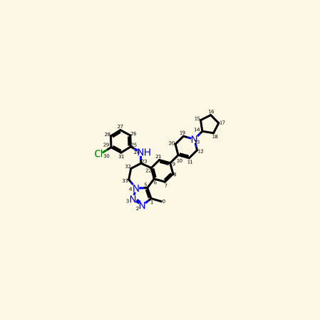 Cc1nnn2c1-c1ccc(C3=CCN(C4CCCC4)CC3)cc1C(Nc1cccc(Cl)c1)CC2